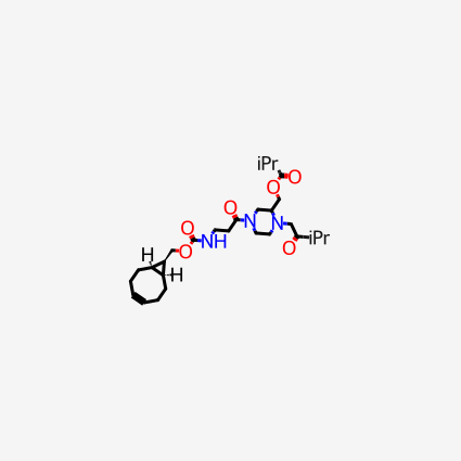 CC(C)C(=O)CN1CCN(C(=O)CCNC(=O)OC[C@@H]2[C@@H]3CCC#CCC[C@@H]32)CC1COC(=O)C(C)C